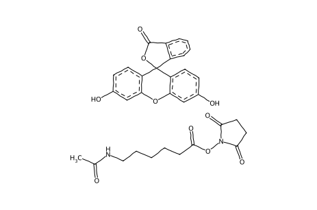 CC(=O)NCCCCCC(=O)ON1C(=O)CCC1=O.O=C1OC2(c3ccc(O)cc3Oc3cc(O)ccc32)c2ccccc21